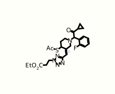 CCOC(=O)CCn1nnc(/C=C2/CN(C(C(=O)C3CC3)c3ccccc3F)CCC2SC(C)=O)n1